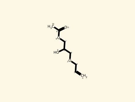 C=CCOCC(O)COC(C)=O